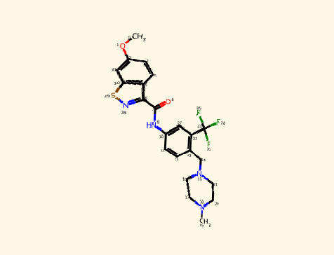 COc1ccc2c(C(=O)Nc3ccc(CN4CCN(C)CC4)c(C(F)(F)F)c3)nsc2c1